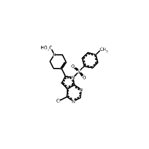 Cc1ccc(S(=O)(=O)n2c(C3=CCN(C(=O)O)CC3)cc3c(Cl)ncnc32)cc1